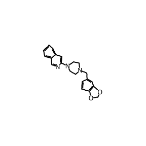 c1ccc2cc(N3CCN(Cc4ccc5c(c4)OCO5)CC3)ncc2c1